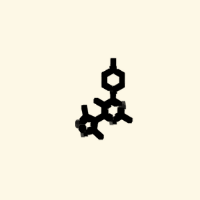 Cc1nc(-c2c(C)noc2C)c(C)c(N2CCN(C)CC2)n1